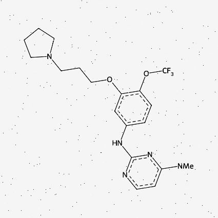 CNc1ccnc(Nc2ccc(OC(F)(F)F)c(OCCCN3CCCC3)c2)n1